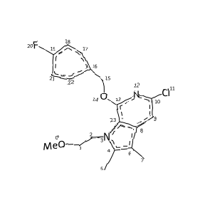 COCCn1c(C)c(C)c2cc(Cl)nc(OCc3ccc(F)cc3)c21